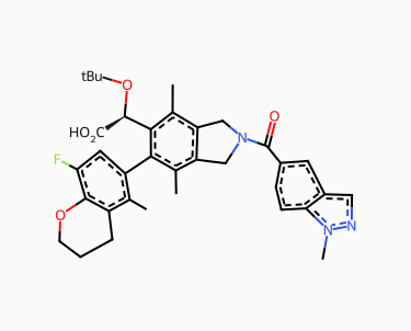 Cc1c(-c2c(C)c3c(c(C)c2[C@H](OC(C)(C)C)C(=O)O)CN(C(=O)c2ccc4c(cnn4C)c2)C3)cc(F)c2c1CCCO2